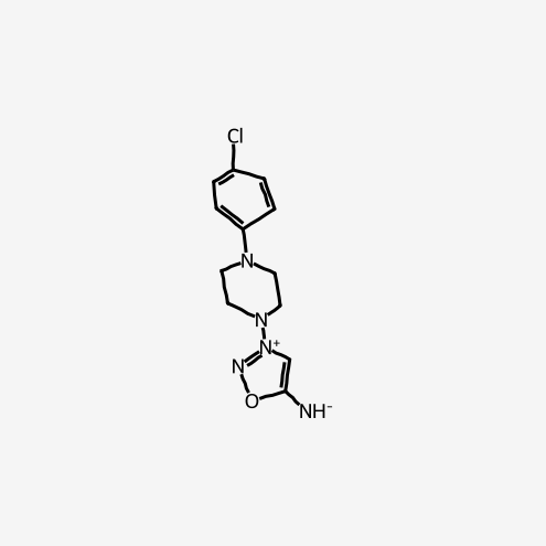 [NH-]c1c[n+](N2CCN(c3ccc(Cl)cc3)CC2)no1